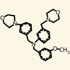 COc1cccc(CN(Cc2cccc(N3CCOCC3)c2)c2cccc(CN3CCOCC3)c2)c1